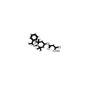 CCC(C=O)CC(=O)OC1CC(C)(C)N(OC(C)c2ccccc2)C(C)(C)C1